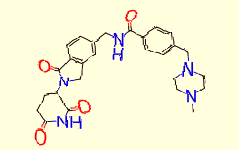 CN1CCN(Cc2ccc(C(=O)NCc3ccc4c(c3)CN(C3CCC(=O)NC3=O)C4=O)cc2)CC1